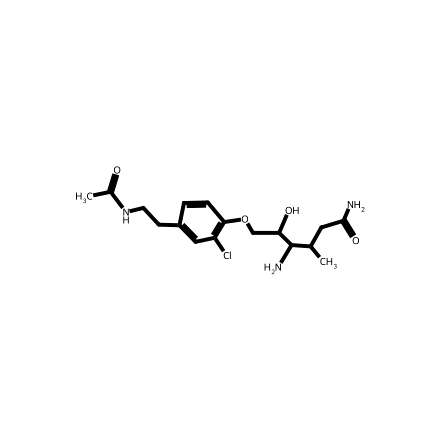 CC(=O)NCCc1ccc(OCC(O)C(N)C(C)CC(N)=O)c(Cl)c1